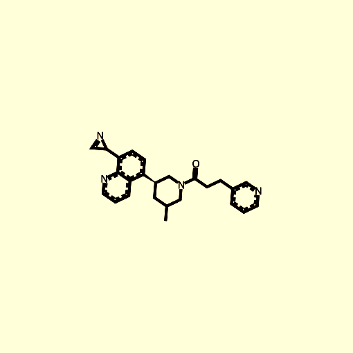 CC1C[C@@H](c2ccc(C3C=N3)c3ncccc23)CN(C(=O)CCc2cccnc2)C1